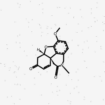 COc1ccc2c3c1O[C@H]1CC(=O)C=C[C@@]31CC(=O)N(C)C2